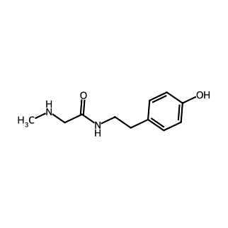 CNCC(=O)NCCc1ccc(O)cc1